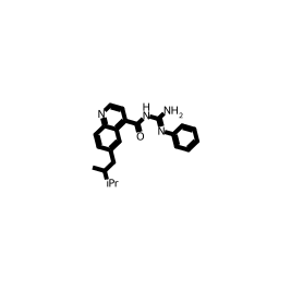 CC(C)C(C)Cc1ccc2nccc(C(=O)NC(N)=Nc3ccccc3)c2c1